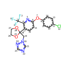 FC(F)(F)c1nc(Oc2ccc(Cl)cc2)ccc1C1(Cn2cncn2)OCCO1